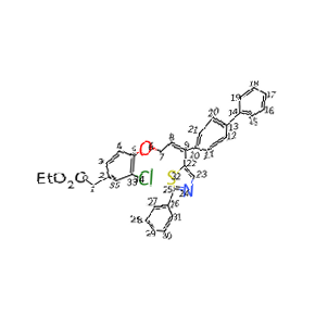 CCOC(=O)Cc1ccc(OC/C=C(/c2ccc(-c3ccccc3)cc2)c2cnc(-c3ccccc3)s2)c(Cl)c1